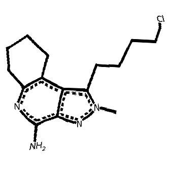 Cn1nc2c(N)nc3c(c2c1CCCCCl)CCCC3